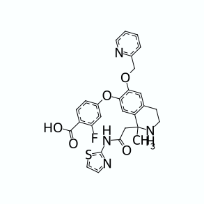 CC1(CC(=O)Nc2nccs2)NCCc2cc(OCc3ccccn3)c(Oc3ccc(C(=O)O)c(F)c3)cc21